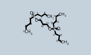 CCCCP(=O)(CCCC)OCCCOP(=O)(CCCC)CCCC